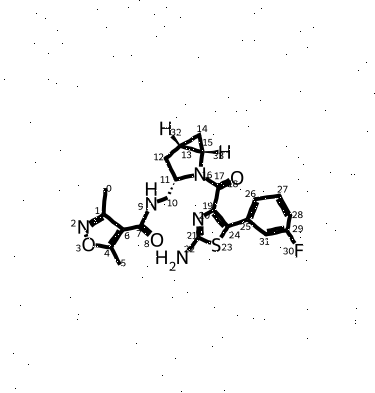 Cc1noc(C)c1C(=O)NC[C@@H]1C[C@@H]2C[C@@H]2N1C(=O)c1nc(N)sc1-c1cccc(F)c1